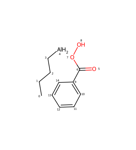 CCC[CH2][AlH2].O=C(OO)c1ccccc1